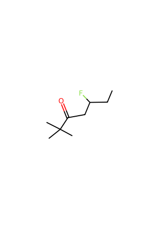 CCC(F)CC(=O)C(C)(C)C